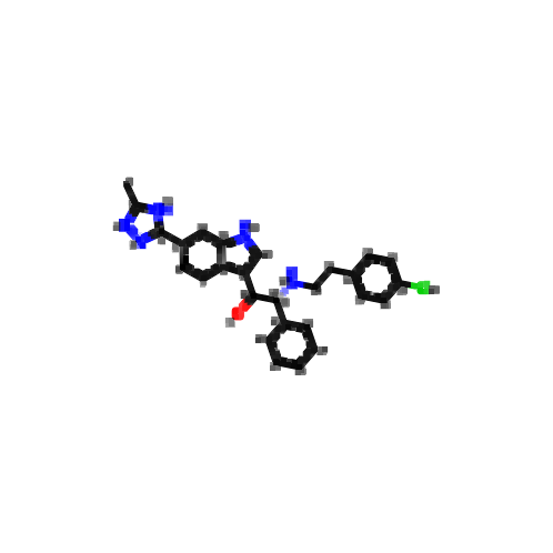 Cc1nnc(-c2ccc3c(C(=O)[C@H](NCCc4ccc(Cl)cc4)c4ccccc4)c[nH]c3c2)[nH]1